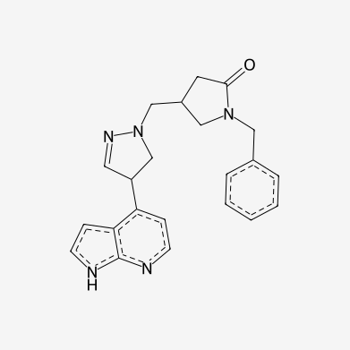 O=C1CC(CN2CC(c3ccnc4[nH]ccc34)C=N2)CN1Cc1ccccc1